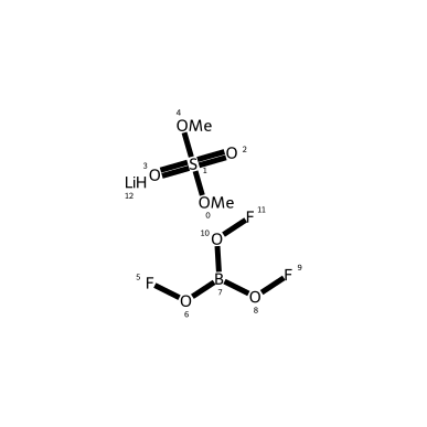 COS(=O)(=O)OC.FOB(OF)OF.[LiH]